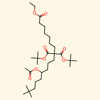 CCOC(=O)CCCCCCC(CCCC(CCCC(C)(C)C)OC(C)=O)(C(=O)OC(C)(C)C)C(=O)OC(C)(C)C